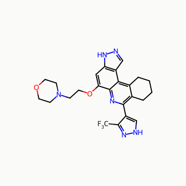 FC(F)(F)c1n[nH]cc1-c1nc2c(OCCN3CCOCC3)cc3[nH]ncc3c2c2c1CCCC2